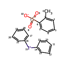 Cc1ccccc1S(=O)(=O)[O-].c1ccc([I+]c2ccccc2)cc1